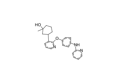 CC1(O)CCCC(c2cccnc2Oc2ccc(Nc3ccccn3)cc2)C1